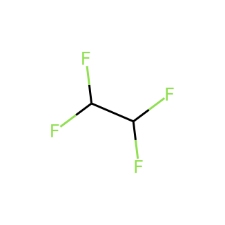 FC(F)C(F)F